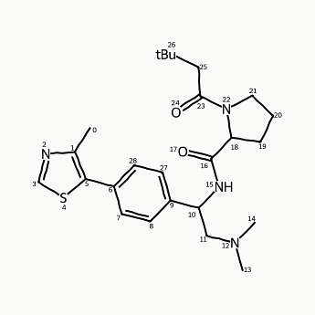 Cc1ncsc1-c1ccc(C(CN(C)C)NC(=O)C2CCCN2C(=O)CC(C)(C)C)cc1